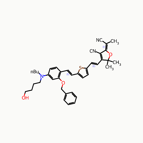 [C-]#[N+]C1=C(/C=C/c2ccc(/C=C/c3ccc(N(CCCC)CCCCO)cc3OCc3ccccc3)s2)C(C)(C)O/C1=C(\C)C#N